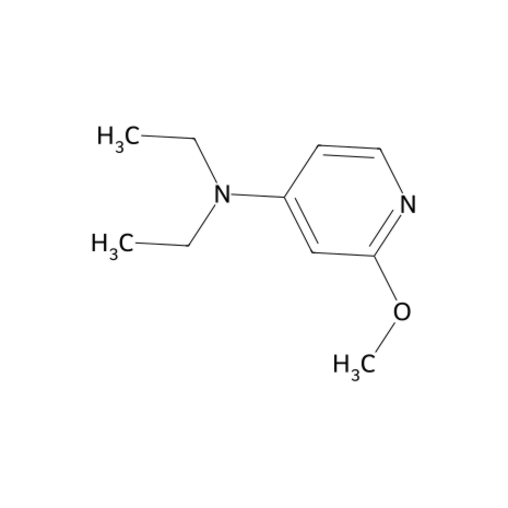 CCN(CC)c1ccnc(OC)c1